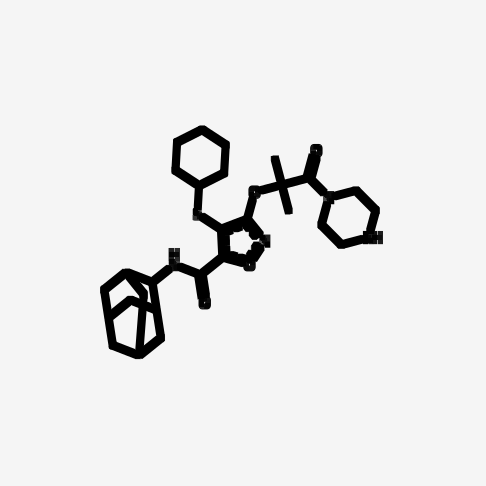 CC(C)(Oc1noc(C(=O)NC2C3CC4CC(C3)CC2C4)c1SC1CCCCC1)C(=O)N1CCNCC1